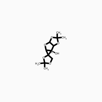 CC1(C)OC2OC3C4(COC(C)(C)O4)[C@@]3(O)C2O1